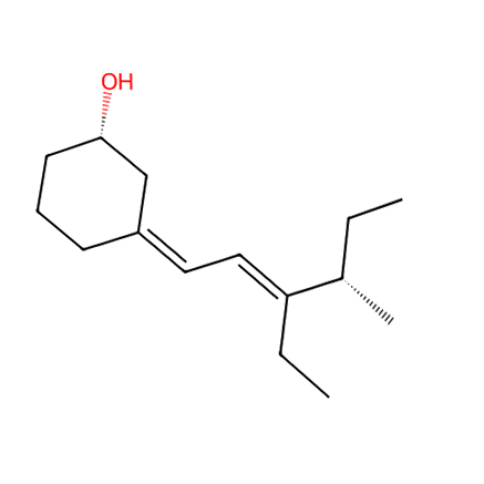 CC/C(=C\C=C1\CCC[C@H](O)C1)[C@@H](C)CC